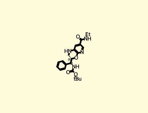 CCNC(=O)c1cnc2c(c1)NC[C@@H]([C@H](NC(=O)OC(C)(C)C)c1ccccc1)O2